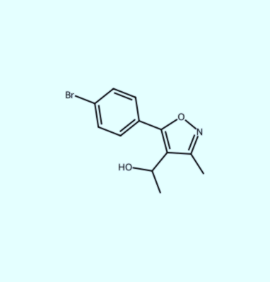 Cc1noc(-c2ccc(Br)cc2)c1C(C)O